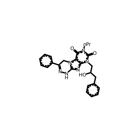 CCCn1c(=O)c2c(nc3n2CC(c2ccccc2)=NN3)n(CC(O)Cc2ccccc2)c1=O